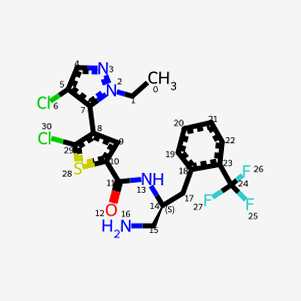 CCn1ncc(Cl)c1-c1cc(C(=O)N[C@H](CN)Cc2ccccc2C(F)(F)F)sc1Cl